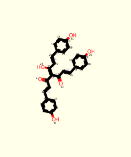 O=C(/C=C/c1ccc(O)cc1)C(C(=O)/C=C/c1ccc(O)cc1)=C(O)/C=C/c1ccc(O)cc1